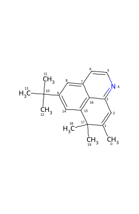 CC1=Cc2nccc3cc(C(C)(C)C)cc(c23)C1(C)C